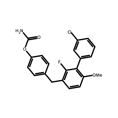 COc1ccc(Cc2ccc(OC(N)=O)cc2)c(F)c1-c1cccc(Cl)c1